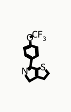 FC(F)(F)Oc1ccc(C2=NCCC3=C2SCC3)cc1